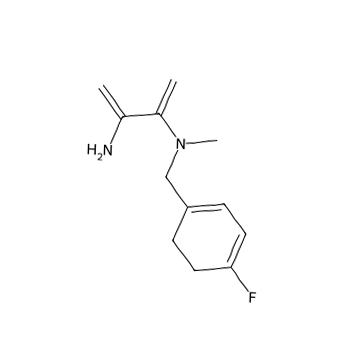 C=C(N)C(=C)N(C)CC1=CC=C(F)CC1